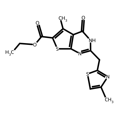 CCOC(=O)c1sc2nc(Cc3nc(C)cs3)[nH]c(=O)c2c1C